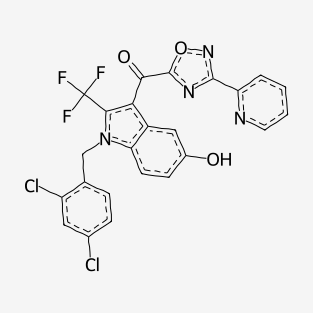 O=C(c1nc(-c2ccccn2)no1)c1c(C(F)(F)F)n(Cc2ccc(Cl)cc2Cl)c2ccc(O)cc12